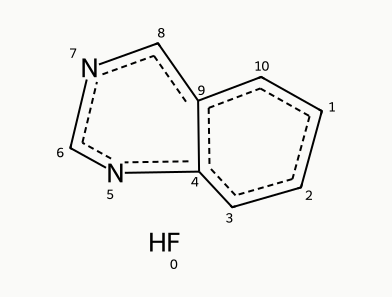 F.c1ccc2ncncc2c1